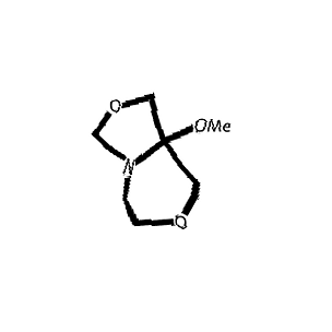 COC12COCN1COC2